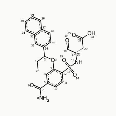 CCC(Oc1cc(C(N)=O)ccc1S(=O)(=O)N[C@H](C=O)CC(=O)O)c1ccc2ccccc2c1